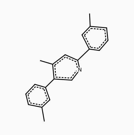 Cc1cccc(-c2cc(C)c(-c3cccc(C)c3)cn2)c1